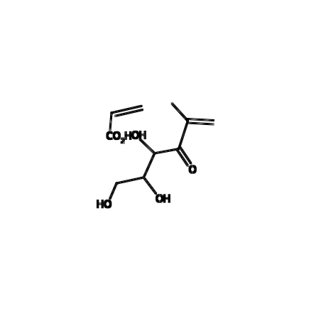 C=C(C)C(=O)C(O)C(O)CO.C=CC(=O)O